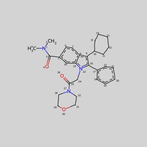 CN(C)C(=O)c1ccc2c(C3CCCCC3)c(-c3ccccc3)n(CC(=O)N3CCOCC3)c2c1